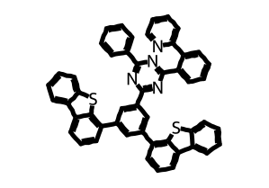 c1ccc(-c2nc(-c3cc(-c4cccc5c4sc4ccccc45)cc(-c4cccc5c4sc4ccccc45)c3)nc(-c3ccccc3-c3ccccn3)n2)cc1